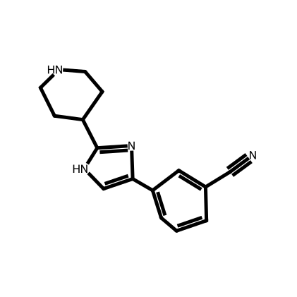 N#Cc1cccc(-c2c[nH]c(C3CCNCC3)n2)c1